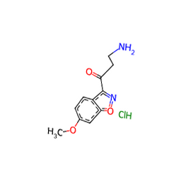 COc1ccc2c(C(=O)CCN)noc2c1.Cl